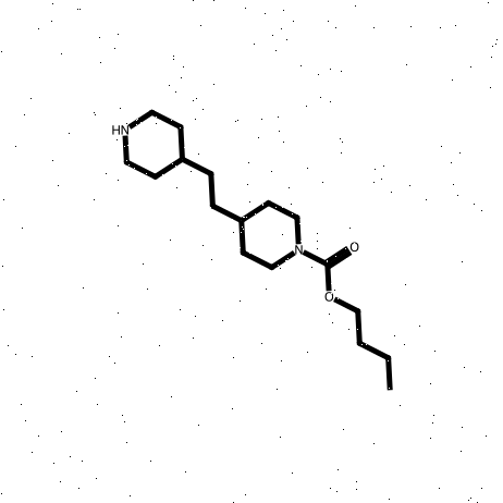 CCCCOC(=O)N1CCC(CCC2CCNCC2)CC1